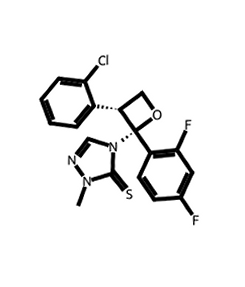 Cn1ncn([C@@]2(c3ccc(F)cc3F)OC[C@H]2c2ccccc2Cl)c1=S